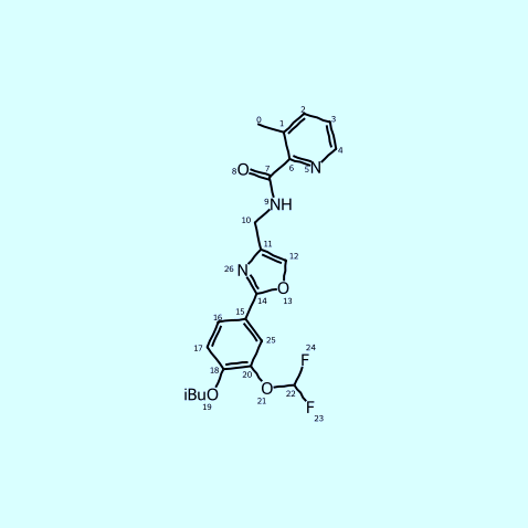 Cc1cccnc1C(=O)NCc1coc(-c2ccc(OCC(C)C)c(OC(F)F)c2)n1